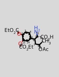 CCOC(=O)Oc1ccc(C(CC(C)OC(C)=O)[C@H](N)C(=O)O)cc1OC(=O)OCC